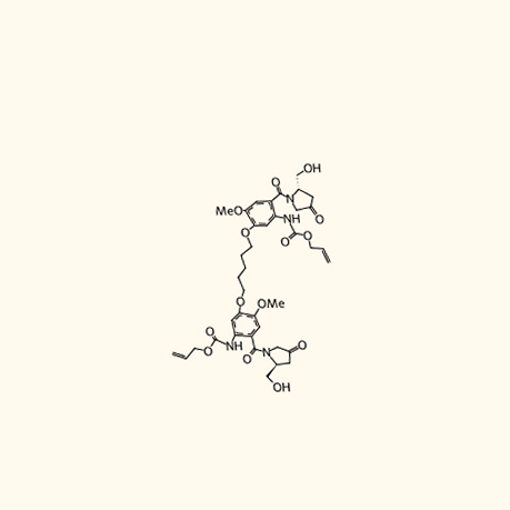 C=CCOC(=O)Nc1cc(OCCCCCOc2cc(NC(=O)OCC=C)c(C(=O)N3CC(=O)C[C@H]3CO)cc2OC)c(OC)cc1C(=O)N1CC(=O)C[C@H]1CO